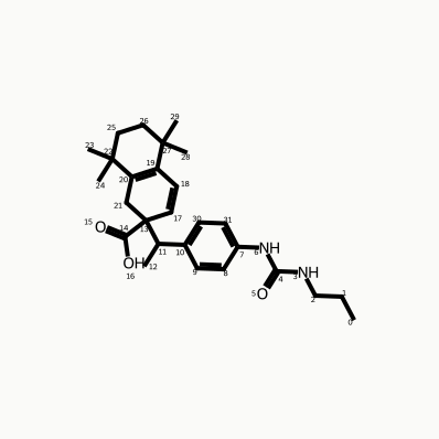 CCCNC(=O)Nc1ccc(C(C)C2(C(=O)O)C=CC3=C(C2)C(C)(C)CCC3(C)C)cc1